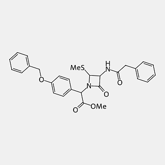 COC(=O)C(c1ccc(OCc2ccccc2)cc1)N1C(=O)C(NC(=O)Cc2ccccc2)C1SC